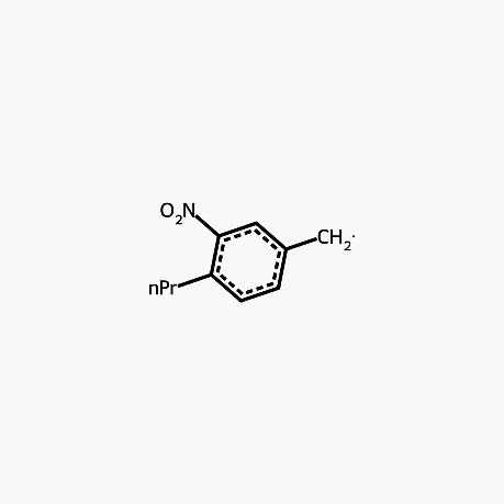 [CH2]c1ccc(CCC)c([N+](=O)[O-])c1